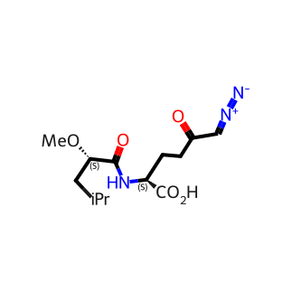 CO[C@@H](CC(C)C)C(=O)N[C@@H](CCC(=O)C=[N+]=[N-])C(=O)O